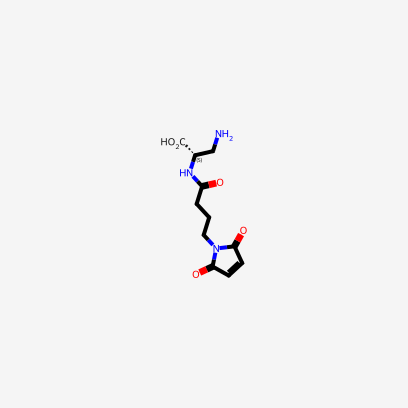 NC[C@H](NC(=O)CCCN1C(=O)C=CC1=O)C(=O)O